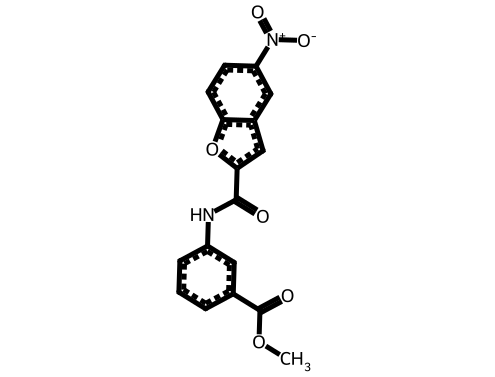 COC(=O)c1cccc(NC(=O)c2cc3cc([N+](=O)[O-])ccc3o2)c1